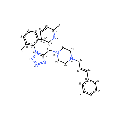 CC1=NC([C@@H](c2nnnn2-c2c(C)cccc2C)N2CCN(C/C=C/c3ccccc3)CC2)CC=C1